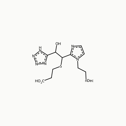 CCCCCCCCCCCCn1ccnc1C(SCCC(=O)O)C(O)c1nnn[nH]1